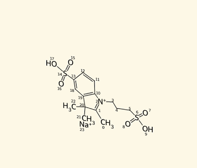 CC1=[N+](CCCS(=O)(=O)O)c2ccc(S(=O)(=O)O)cc2C1(C)C.[Na+]